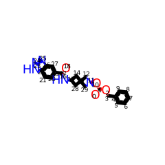 O=C(OCc1ccccc1)ON1CC2(CC(NC(=O)c3ccc4[nH]nnc4c3)C2)C1